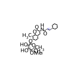 CO[C@@H]1[C@@H](O)[C@H](O)[C@H](Oc2ccc3cc(NC(=O)/C=C/c4ccccc4)c(=O)oc3c2C)OC1(C)C